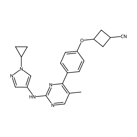 Cc1cnc(Nc2cnn(C3CC3)c2)nc1-c1ccc(OC2CC(C#N)C2)cc1